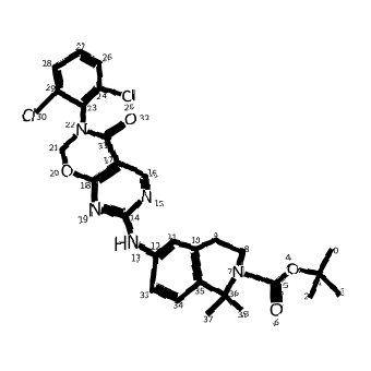 CC(C)(C)OC(=O)N1CCc2cc(Nc3ncc4c(n3)OCN(c3c(Cl)cccc3Cl)C4=O)ccc2C1(C)C